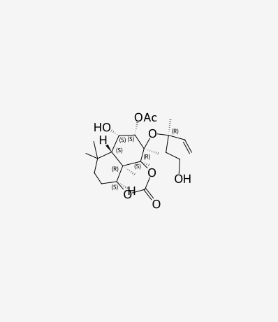 C=C[C@@](C)(CCO)O[C@]1(C)[C@@H](OC(C)=O)[C@@H](O)[C@H]2C(C)(C)CC[C@@H]3OC(=O)O[C@@]1(C)[C@@]32C